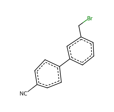 N#Cc1ccc(-c2cccc(CBr)c2)cc1